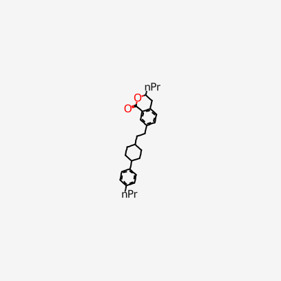 CCCc1ccc(C2CCC(CCc3ccc4c(c3)C(=O)OC(CCC)C4)CC2)cc1